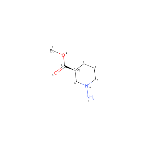 CCOC(=O)[C@H]1CCCN(N)C1